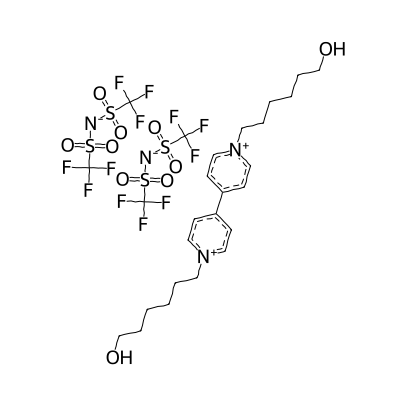 O=S(=O)([N-]S(=O)(=O)C(F)(F)F)C(F)(F)F.O=S(=O)([N-]S(=O)(=O)C(F)(F)F)C(F)(F)F.OCCCCCC[n+]1ccc(-c2cc[n+](CCCCCCO)cc2)cc1